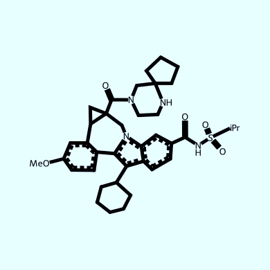 COc1ccc2c(c1)C1CC1(C(=O)N1CCNC3(CCCC3)C1)Cn1c-2c(C2CCCCC2)c2ccc(C(=O)NS(=O)(=O)C(C)C)cc21